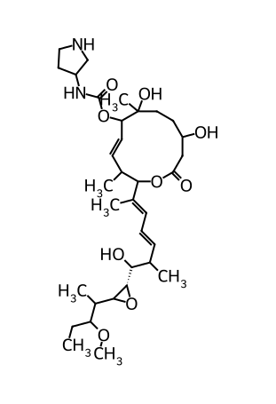 CCC(OC)C(C)C1O[C@H]1C(O)C(C)/C=C/C=C(\C)C1OC(=O)CC(O)CCC(C)(O)C(OC(=O)NC2CCNC2)/C=C/C1C